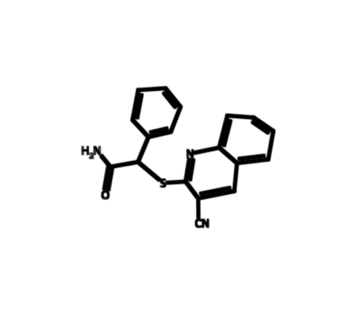 N#Cc1cc2ccccc2nc1SC(C(N)=O)c1ccccc1